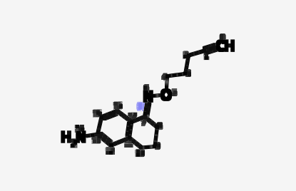 C#CCCCO/N=C1\CCCc2cc(N)ccc21